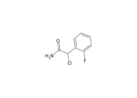 NC(=O)C(Cl)c1ccccc1F